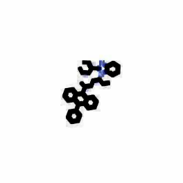 C=C/C(=C\C=C(/C)c1c2ccccc2c(-c2ccccc2)c2ccccc12)n1c(C(/C=C\C)=C/C)nc2ccccc21